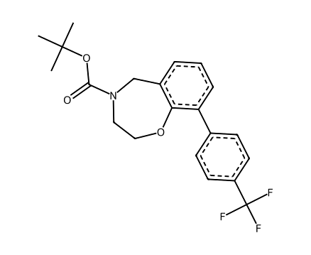 CC(C)(C)OC(=O)N1CCOc2c(cccc2-c2ccc(C(F)(F)F)cc2)C1